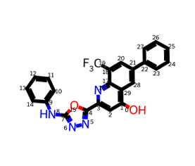 Oc1cc(-c2nnc(Nc3ccccc3)o2)nc2c(C(F)(F)F)cc(-c3ccccc3)cc12